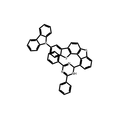 c1ccc(C2=NC(c3cccc4sc5ccc6c7cc(-n8c9ccccc9c9ccccc98)ccc7sc6c5c34)NC(c3ccccc3)=N2)cc1